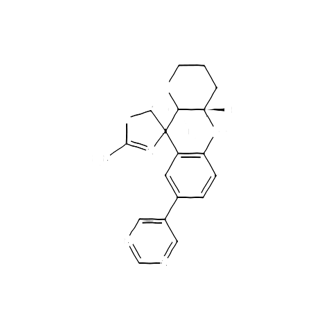 NC1=NC2(CS1)c1cc(-c3cncnc3)ccc1O[C@H]1CCCO[C@@H]12